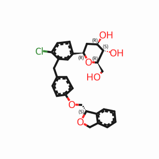 OC[C@H]1O[C@@H](c2ccc(Cl)c(Cc3ccc(OC[C@H]4OCc5ccccc54)cc3)c2)C[C@@H](O)[C@@H]1O